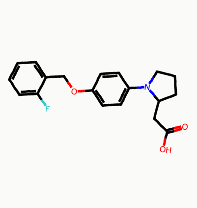 O=C(O)CC1CCCN1c1ccc(OCc2ccccc2F)cc1